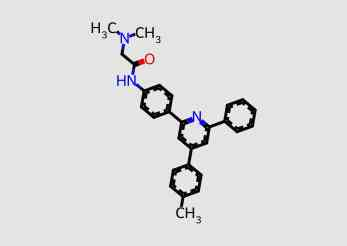 Cc1ccc(-c2cc(-c3ccccc3)nc(-c3ccc(NC(=O)CN(C)C)cc3)c2)cc1